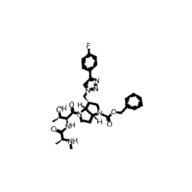 CN[C@@H](C)C(=O)N[C@H](C(=O)N1CC[C@@H]2[C@H]1[C@@H](Cn1cc(-c3ccc(F)cc3)nn1)CN2C(=O)OCc1ccccc1)[C@@H](C)O